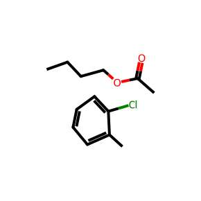 CCCCOC(C)=O.Cc1ccccc1Cl